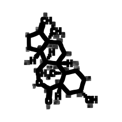 C=C1CC[C@H]2[C@@H]3COC(=O)[C@H]4C[C@@H](O)CC[C@]4(C)[C@H]3CC[C@]12C